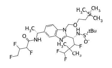 C[C@@H](NC(=O)C(F)C(F)CF)c1ccc2c(c1)nc([C@H](N[S@+]([O-])C(C)(C)C)C(F)C(C)(C)C(F)F)n2COCC[Si](C)(C)C